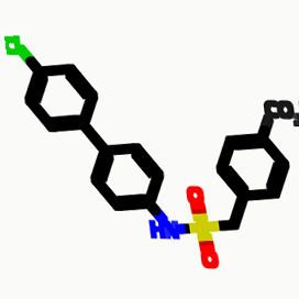 O=C(O)c1ccc(CS(=O)(=O)Nc2ccc(-c3ccc(Cl)cc3)cc2)cc1